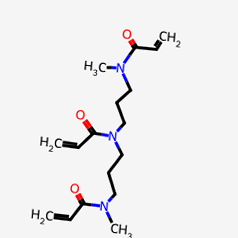 C=CC(=O)N(C)CCCN(CCCN(C)C(=O)C=C)C(=O)C=C